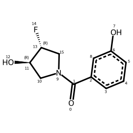 O=C(c1cccc(O)c1)N1C[C@@H](O)[C@H](F)C1